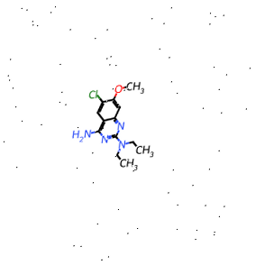 CCN(CC)c1nc(N)c2cc(Cl)c(OC)cc2n1